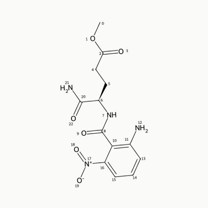 COC(=O)CC[C@@H](NC(=O)c1c(N)cccc1[N+](=O)[O-])C(N)=O